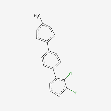 Cc1ccc(-c2ccc(-c3cccc(F)c3Cl)cc2)cc1